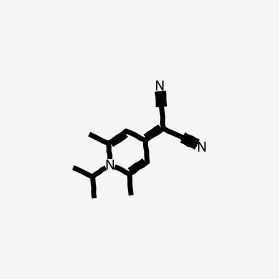 CC1=CC(=C(C#N)C#N)C=C(C)N1C(C)C